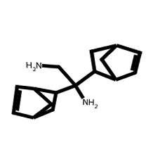 NCC(N)(C1CC2C=CC1C2)C1CC2C=CC1C2